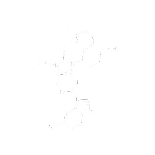 Cn1c(=O)n(C2CC[C@@H](O)c3ccc(F)cc32)c2nc(-n3cnc4ccc(C#N)cc43)ncc21